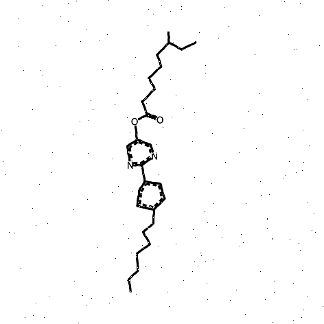 CCCCCCCc1ccc(-c2ncc(OC(=O)CCCCCC(C)CC)cn2)cc1